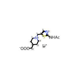 CC(=O)Nc1ncc(CN2CCC(CC(=O)[O-])CC2)s1.[Li+]